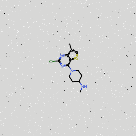 CNC1CCN(c2nc(Cl)nc3c(C)csc23)CC1